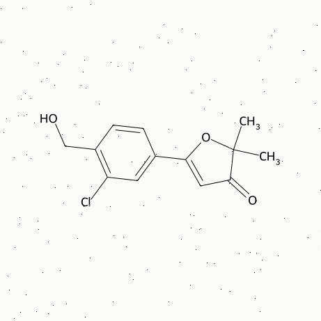 CC1(C)OC(c2ccc(CO)c(Cl)c2)=CC1=O